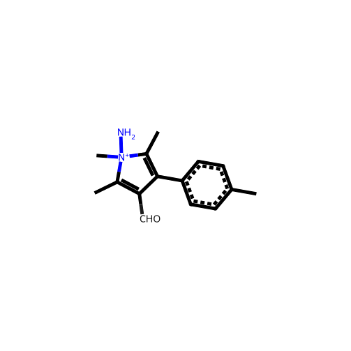 CC1=C(C=O)C(c2ccc(C)cc2)=C(C)[N+]1(C)N